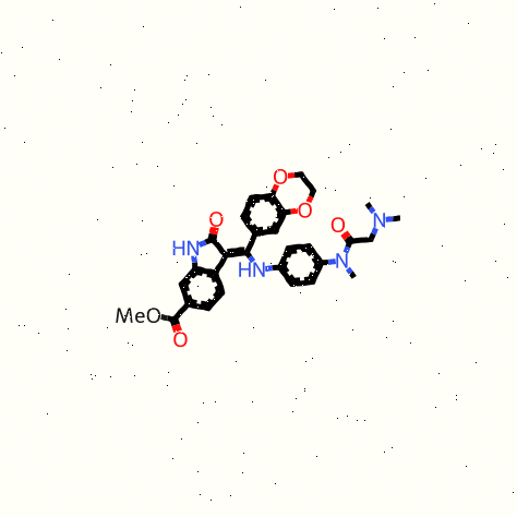 COC(=O)c1ccc2c(c1)NC(=O)C2=C(Nc1ccc(N(C)C(=O)CN(C)C)cc1)c1ccc2c(c1)OCCO2